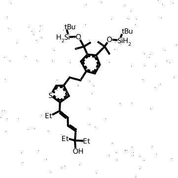 CCC(=CC=CC(O)(CC)CC)c1cc(CCc2ccc(C(C)(C)O[SiH2]C(C)(C)C)c(C(C)(C)O[SiH2]C(C)(C)C)c2)cs1